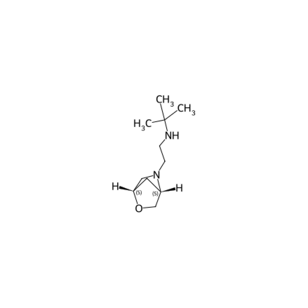 CC(C)(C)NCCN1C[C@@H]2C[C@H]1CO2